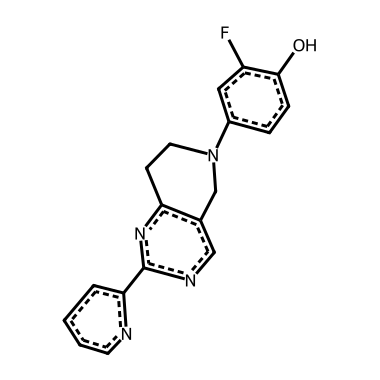 Oc1ccc(N2CCc3nc(-c4ccccn4)ncc3C2)cc1F